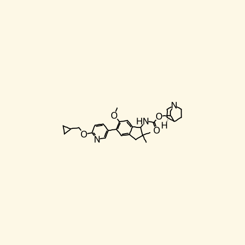 COc1cc2c(cc1-c1ccc(OCC3CC3)nc1)CC(C)(C)C2NC(=O)O[C@H]1CN2CCC1CC2